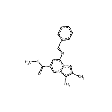 COC(=O)c1cc(/N=C/c2ccccc2)c2nc(C)c(C)n2c1